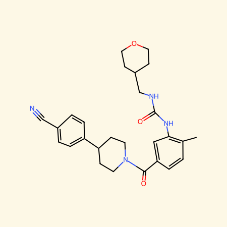 Cc1ccc(C(=O)N2CCC(c3ccc(C#N)cc3)CC2)cc1NC(=O)NCC1CCOCC1